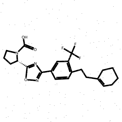 O=C(O)N1CCC[C@H]1c1nc(-c2ccc(CCC3=CCCCC3)c(C(F)(F)F)c2)no1